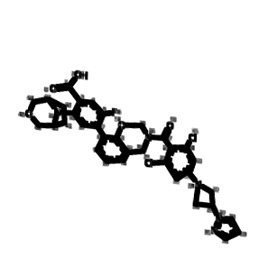 O=C(O)c1cc(F)c(-c2cccc3c2OCN(C(=O)c2c(Cl)cc(N4CC(n5cccn5)C4)cc2Cl)C3)cc1N1C2CCC1COC2